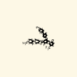 CC(C)c1ccc(-c2ccc(Oc3cc(C(=O)NC4CCN(C5CCN(C)CC5F)CC4)c(F)cc3Cn3cc(C(F)(F)F)ccc3=O)cc2)nn1